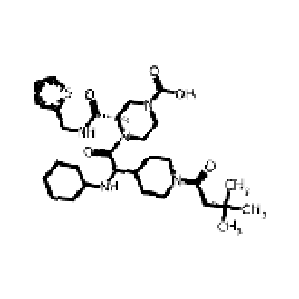 CC(C)(C)CC(=O)N1CCC(C(NC2CCCCC2)C(=O)N2CCN(C(=O)O)C[C@H]2C(=O)NCc2cccs2)CC1